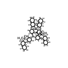 CC1(C)c2cc(N(c3ccc4c(c3)C(C)(C)c3ccc5ccccc5c3-4)c3cccc4c3-c3ccccc3[Si]4(c3ccc4ccccc4c3)c3ccc4ccccc4c3)ccc2-c2c1ccc1ccccc21